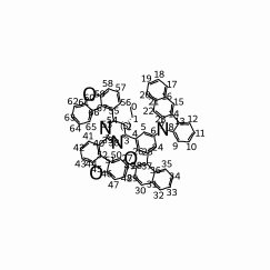 CC[C@@H]1C(c2cc(-n3c4ccccc4c4cc5ccccc5cc43)cc3c2oc2ccc4ccccc4c23)=NC(c2cccc3oc4ccccc4c23)=NC1c1cccc2oc3ccccc3c12